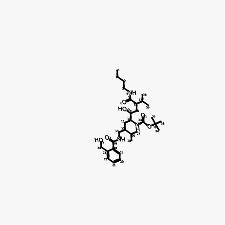 CCCCNC(=O)C(CC(O)C(CC(CNC(=O)c1ccccc1CO)C(C)C)NC(=O)OC(C)(C)C)C(C)C